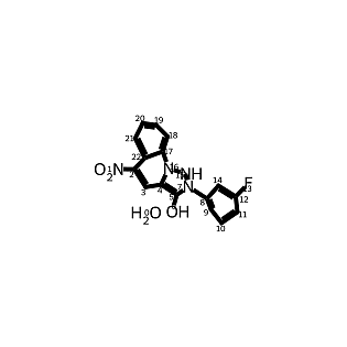 O.O=[N+]([O-])C1=CC2=C(O)N(c3cccc(F)c3)NN2c2ccccc21